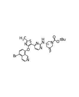 Cc1nc(Oc2ccc(Br)c3ccncc23)c(-c2ccnc(N[C@H]3C[C@H](F)CN(C(=O)OC(C)(C)C)C3)n2)s1